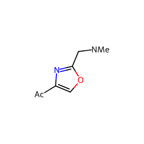 CNCc1nc(C(C)=O)co1